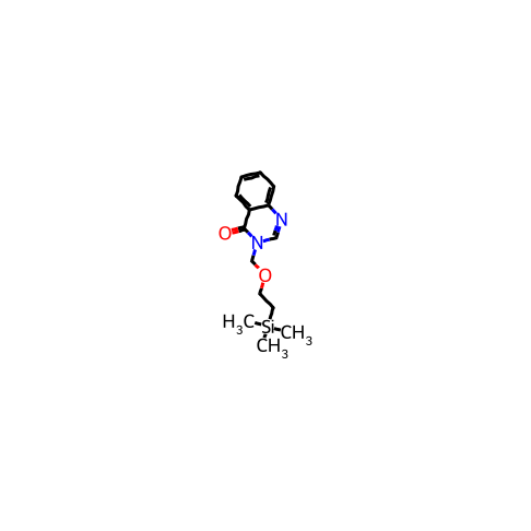 C[Si](C)(C)CCOCn1cnc2ccccc2c1=O